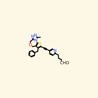 Cc1nnc2n1-c1sc(C#Cc3ccc(CCCC=O)nc3)c(Cc3ccccc3)c1COC2